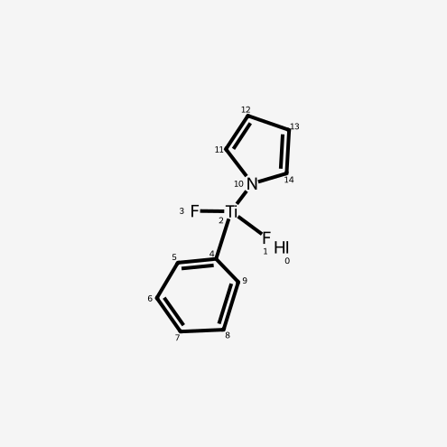 I.[F][Ti]([F])([c]1ccccc1)[n]1cccc1